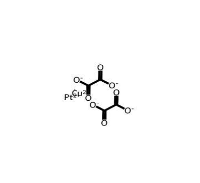 O=C([O-])C(=O)[O-].O=C([O-])C(=O)[O-].[Cu+2].[Pt+2]